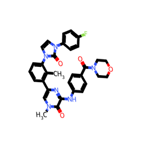 Cc1c(-c2cn(C)c(=O)c(Nc3ccc(C(=O)N4CCOCC4)cc3)n2)cccc1-n1ccn(-c2ccc(F)cc2)c1=O